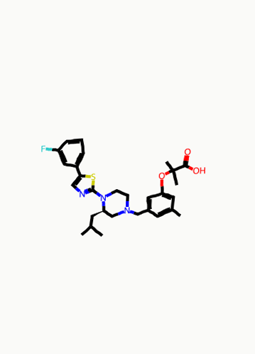 Cc1cc(CN2CCN(c3ncc(-c4cccc(F)c4)s3)[C@H](CC(C)C)C2)cc(OC(C)(C)C(=O)O)c1